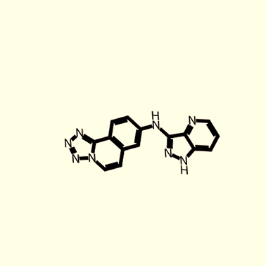 c1cnc2c(Nc3ccc4c(ccn5nnnc45)c3)n[nH]c2c1